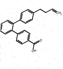 C=CCCc1ccc(-c2ccccc2-c2ccc(C(=O)O)cc2)cc1